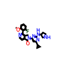 COc1cccc(F)c1-c1nccc2c1CN(c1cc(C3CC3)nc(N[C@H]3CCNC3)n1)C2=O